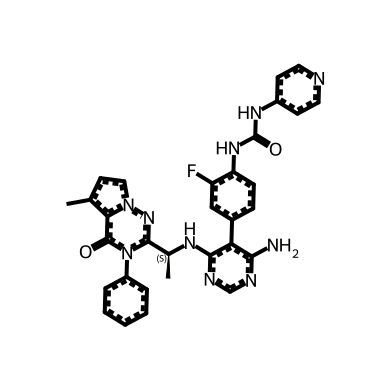 Cc1ccn2nc([C@H](C)Nc3ncnc(N)c3-c3ccc(NC(=O)Nc4ccncc4)c(F)c3)n(-c3ccccc3)c(=O)c12